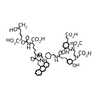 C=C(O)CCC[C@@H](OC(=O)N[C@@H](CCCCNC(=O)[C@H](Cc1c2ccccc2cc2ccccc12)NC(=O)[C@H]1CC[C@H](CNC(=O)CCc2ccc(O)c(CN(CCN(CC(=O)O)Cc3cc(CCC(=O)O)ccc3O)CC(=O)O)c2)CC1)C(=O)O)C(=O)O